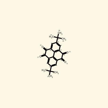 CC(C)(C)c1cc2c3c(c1)c(=O)c(=O)c1cc(C(C)(C)C)cc(c1-3)c(=O)c2=O